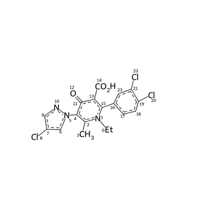 CCn1c(C)c(-n2cc(Cl)cn2)c(=O)c(C(=O)O)c1-c1ccc(Cl)c(Cl)c1